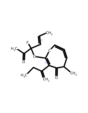 C=C(CC)/C1=C(\OC(F)(/C=C/C)C(C)=O)CC=C=CC(C)C1=O